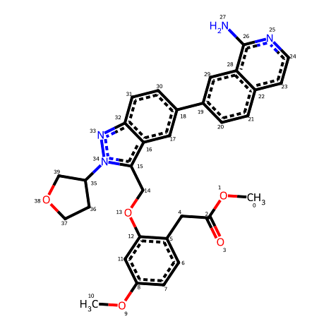 COC(=O)Cc1ccc(OC)cc1OCc1c2cc(-c3ccc4ccnc(N)c4c3)ccc2nn1C1CCOC1